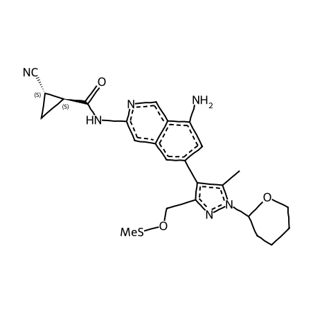 CSOCc1nn(C2CCCCO2)c(C)c1-c1cc(N)c2cnc(NC(=O)[C@H]3C[C@@H]3C#N)cc2c1